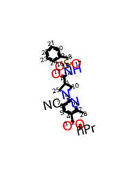 CCCOC(=O)c1cc(C#N)c(N2CC(C(=O)NS(=O)(=O)Cc3ccccc3)C2)nc1C